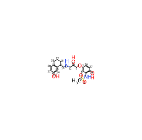 CS(=O)(=O)Nc1cc(OC[C@@H](O)CNCC2CCCc3ccc(O)cc32)ccc1O